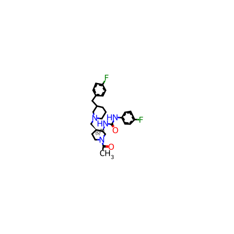 CC(=O)N1CC[C@@H](CN2CCCC(Cc3ccc(F)cc3)C2)[C@@H](NC(=O)Nc2ccc(F)cc2)C1